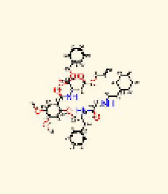 C=CCOC(=O)C[C@H](NC(=O)c1cc(OC)c(OC)cc1OC[C@@H](Cc1ccccc1)NC(=O)CNCCC1CCCCC1)C(=O)OCc1ccccc1